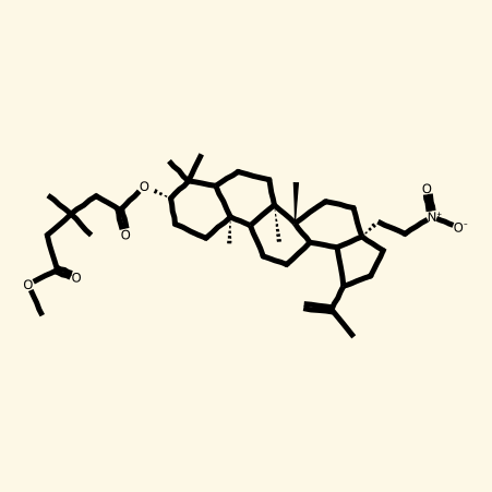 C=C(C)C1CC[C@]2(CC[N+](=O)[O-])CC[C@]3(C)C(CCC4[C@@]5(C)CC[C@H](OC(=O)CC(C)(C)CC(=O)OC)C(C)(C)C5CC[C@]43C)C12